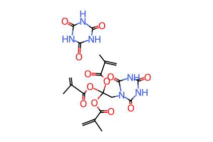 C=C(C)C(=O)OC(Cn1c(=O)[nH]c(=O)[nH]c1=O)(OC(=O)C(=C)C)OC(=O)C(=C)C.O=c1[nH]c(=O)[nH]c(=O)[nH]1